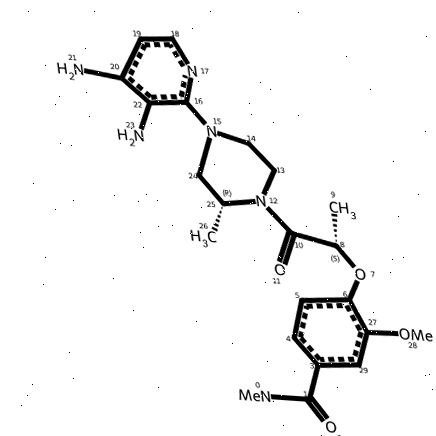 CNC(=O)c1ccc(O[C@@H](C)C(=O)N2CCN(c3nccc(N)c3N)C[C@H]2C)c(OC)c1